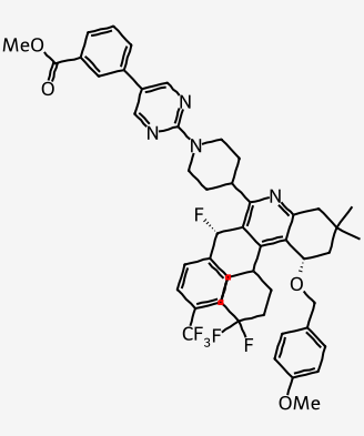 COC(=O)c1cccc(-c2cnc(N3CCC(c4nc5c(c(C6CCC(F)(F)CC6)c4[C@@H](F)c4ccc(C(F)(F)F)cc4)[C@@H](OCc4ccc(OC)cc4)CC(C)(C)C5)CC3)nc2)c1